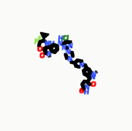 Cn1nc(C2CCC(=O)NC2=O)c2ccc(CN3CCC(CN4CCN(c5ncc(Cl)c(Nc6ccc7c(c6)c6c(c(=O)n7C)OCC(F)(F)[C@H](C7CC7)N6)n5)CC4)CC3)cc21